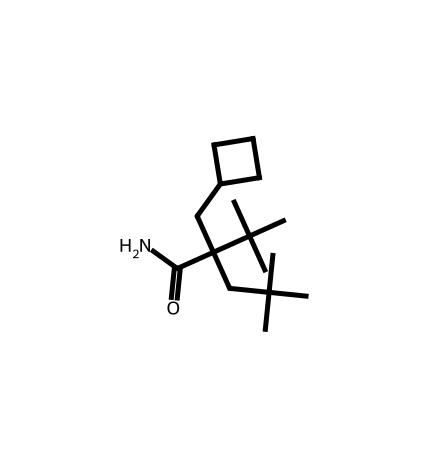 CC(C)(C)CC(CC1CCC1)(C(N)=O)C(C)(C)C